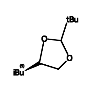 CC[C@H](C)C1COC(C(C)(C)C)O1